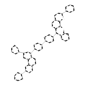 c1ccc(-c2ccc3ccc4c(-c5ccc(-c6ccc(-c7c8ccccc8nc8c7ccc7ccc(-c9ccccc9)nc78)cc6)cc5)cc(-c5ccccc5)cc4c3c2)cc1